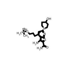 CC(C)(C)[Si](C)(C)OCCCc1cc(N2CCC(O)CC2)nc2sc(C(N)=O)c(N)c12